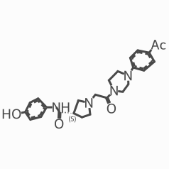 CC(=O)c1ccc(N2CCN(C(=O)CN3CC[C@H](C(=O)Nc4ccc(O)cc4)C3)CC2)cc1